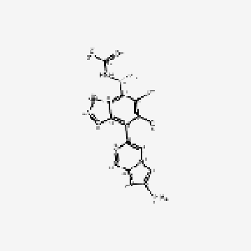 CC(=O)Nc1cn2cc(-c3c(Cl)c(F)c([C@@H](C)NC(=O)C(F)(F)F)c4[nH]ncc34)ncc2n1